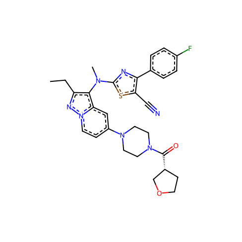 CCc1nn2ccc(N3CCN(C(=O)[C@@H]4CCOC4)CC3)cc2c1N(C)c1nc(-c2ccc(F)cc2)c(C#N)s1